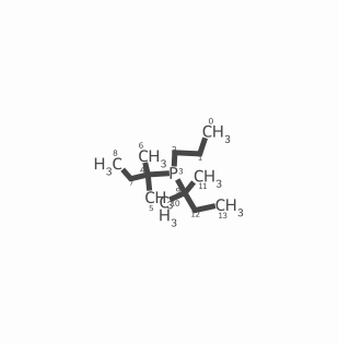 CCCP(C(C)(C)CC)C(C)(C)CC